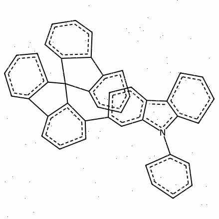 c1ccc(-n2c3ccccc3c3ccc(-c4cccc5c4C4(c6ccccc6-c6ccccc64)c4ccccc4-5)cc32)cc1